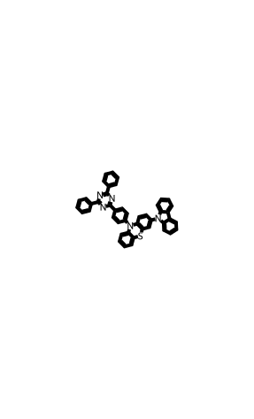 c1ccc(-c2nc(-c3ccccc3)nc(-c3ccc(N4c5ccccc5Sc5cc(-n6c7ccccc7c7ccccc76)ccc54)cc3)n2)cc1